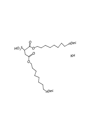 CCCCCCCCCCCCCCCCCCOC(=O)CC(C(=O)OCCCCCCCCCCCCCCCCCC)S(=O)(=O)O.[KH]